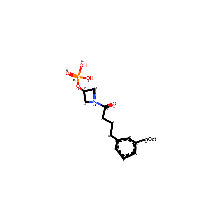 CCCCCCCCc1cccc(CCCC(=O)N2CC(OP(=O)(O)O)C2)c1